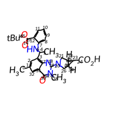 Cc1cc(C(C)Nc2ccccc2C(=O)OC(C)(C)C)c2nc(N3C[C@@H]4C(C(=O)O)[C@@H]4C3)n(C)c(=O)c2c1